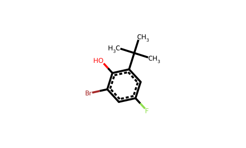 CC(C)(C)c1cc(F)cc(Br)c1O